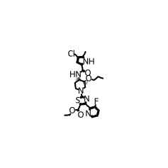 CCCO[C@H]1CN(c2nc(-c3ncccc3F)c(C(=O)OCC)s2)CC[C@H]1NC(=O)c1cc(Cl)c(C)[nH]1